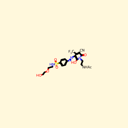 CC(=O)NCCn1c(O)c(/N=N/c2ccc(S(=O)(=O)NCCOCCO)cc2)c(C(F)(F)F)c(C#N)c1=O